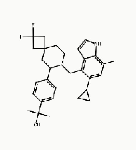 Cc1cc(C2CC2)c(CN2CCC3(CC2c2ccc(C(C)(C)O)cc2)CC(F)(F)C3)c2cc[nH]c12